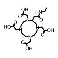 CCNC(=O)CC1CN(CC(=O)O)CCN(CC(=O)O)CCN(CC(=O)O)CCN1CC(=O)O